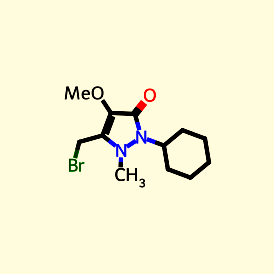 COc1c(CBr)n(C)n(C2CCCCC2)c1=O